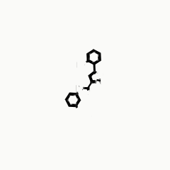 Cc1cccc(NC(=O)c2cc(-c3ccccc3O)on2)c1